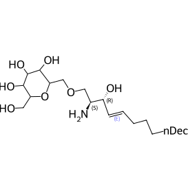 CCCCCCCCCCCCC/C=C/[C@@H](O)[C@@H](N)COCC1OC(CO)C(O)C(O)C1O